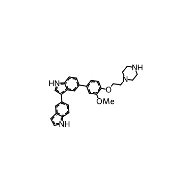 COc1cc(-c2ccc3[nH]cc(-c4ccc5[nH]ccc5c4)c3c2)ccc1OCCN1CCNCC1